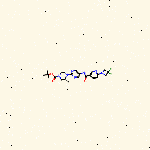 C[C@H]1CN(C(=O)OC(C)(C)C)CCN1c1ncc(NC(=O)c2ccc(N3CC(F)(F)C3)nc2)cn1